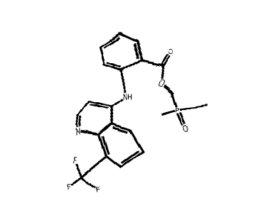 CP(C)(=O)COC(=O)c1ccccc1Nc1ccnc2c(C(F)(F)F)cccc12